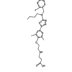 CCCCN(Cc1ccccc1F)c1nnc(-c2cc(C)c(OCCNCCC(=O)O)c(C)c2)s1